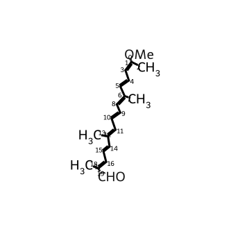 CO/C(C)=C/C=C/C(C)=C/C=C/C=C(C)/C=C/C=C(\C)C=O